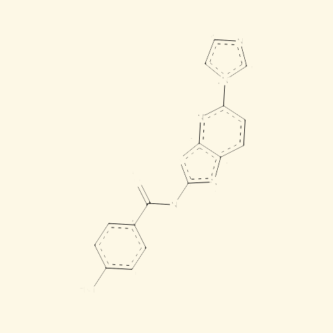 CC(C)(C)c1ccc(C(=O)Nc2nc3ccc(-n4ccnc4)nc3s2)cc1